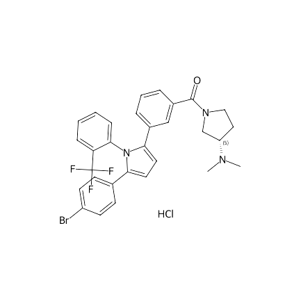 CN(C)[C@H]1CCN(C(=O)c2cccc(-c3ccc(-c4ccc(Br)cc4)n3-c3ccccc3C(F)(F)F)c2)C1.Cl